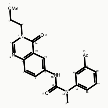 COCCn1cnc2ccc(NC(=O)N(C)c3cccc(C(C)=O)c3)cc2c1=O